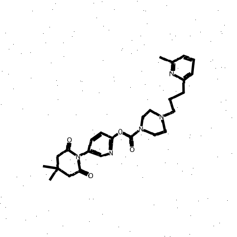 Cc1cccc(CCCN2CCN(C(=O)Oc3ccc(N4C(=O)CC(C)(C)CC4=O)cn3)CC2)n1